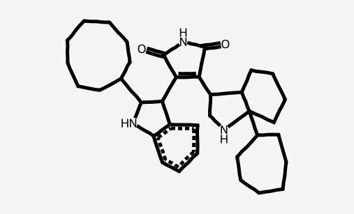 O=C1NC(=O)C(C2c3ccccc3NC2C2CCCCCCCC2)=C1C1CNC2(C3CCCCCC3)CCCCC12